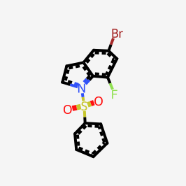 O=S(=O)(c1ccccc1)n1ccc2cc(Br)cc(F)c21